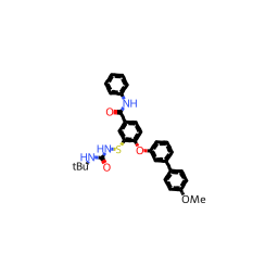 COc1ccc(-c2cccc(Oc3ccc(C(=O)Nc4ccccc4)cc3SNC(=O)NC(C)(C)C)c2)cc1